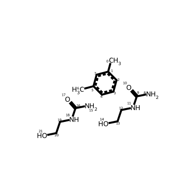 Cc1cccc(C)c1.NC(=O)NCCO.NC(=O)NCCO